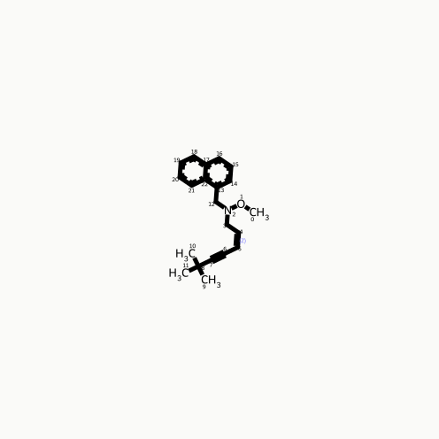 CON(C/C=C\C#CC(C)(C)C)Cc1cccc2ccccc12